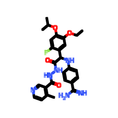 CCOc1cc(C(Nc2ccc(C(=N)N)cc2)C(=O)NNC(=O)c2cnccc2C)c(F)cc1OC(C)C